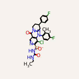 CCNC(=O)N[S+]([O-])c1ncc(C(=O)N2CCC(c3ccc(F)cc3)CC2)c(Nc2ccc(F)cc2C)c1Cl